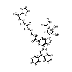 CCNC(=O)[C@H]1O[C@@H](n2cnc3c(NCC(c4ccccc4)c4ccccc4)nc(C(=O)NCCNC(=O)NCCN(C(C)C)C4CCCC4)nc32)[C@@H](O)[C@@H]1O